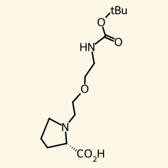 CC(C)(C)OC(=O)NCCOCCN1CCC[C@H]1C(=O)O